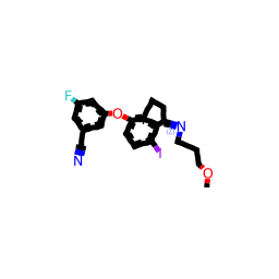 COCCC/N=C1/CCc2c(Oc3cc(F)cc(C#N)c3)ccc(I)c21